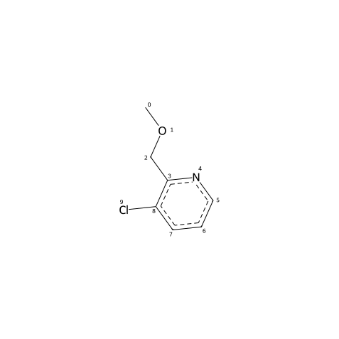 COCc1ncccc1Cl